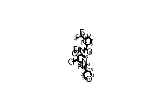 CCOc1c(NC(=O)c2cccc(C(F)F)n2)cn2cc(C3CCOCC3)nc2c1Cl